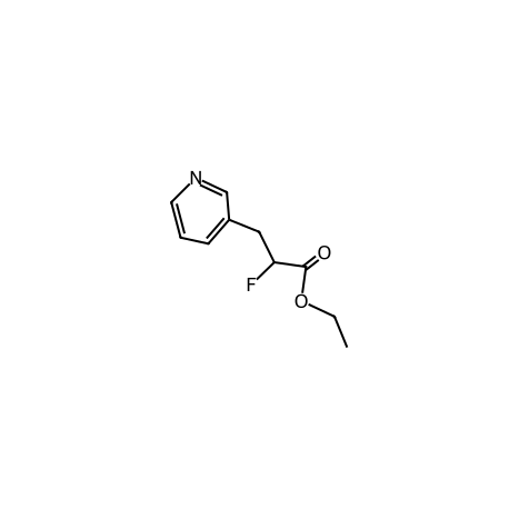 CCOC(=O)C(F)Cc1cccnc1